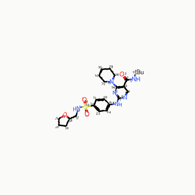 CC(C)(C)NC(=O)c1cnc(Nc2ccc(S(=O)(=O)NCC3CCCO3)cc2)nc1N1CCCCC1